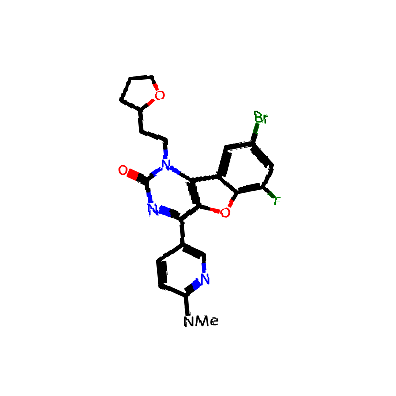 CNc1ccc(-c2nc(=O)n(CCC3CCCO3)c3c2oc2c(F)cc(Br)cc23)cn1